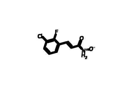 O=C(C=Cc1cccc(Cl)c1F)[NH2+][O-]